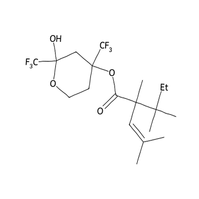 CCC(C)(C)C(C)(C=C(C)C)C(=O)OC1(C(F)(F)F)CCOC(O)(C(F)(F)F)C1